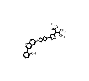 COC(=O)C(c1cc(C2CC3(C2)CN(c2ccc4nnc(-c5ccccc5O)cc4c2)C3)no1)C(C)C